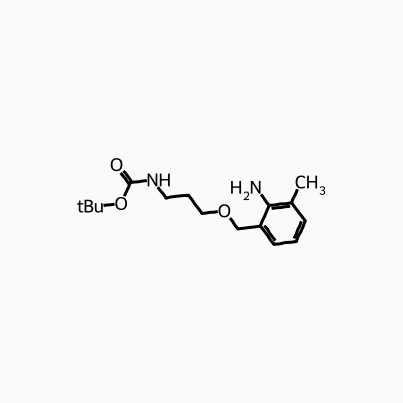 Cc1cccc(COCCCNC(=O)OC(C)(C)C)c1N